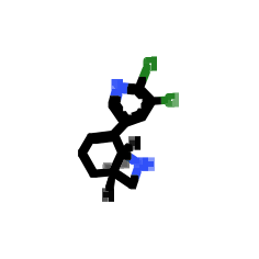 Clc1cc(C2=CCC[C@H]3CN[C@@H]23)cnc1Cl